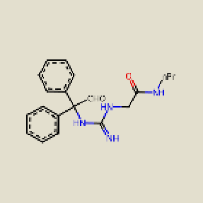 CCCNC(=O)CNC(=N)NC(C=O)(c1ccccc1)c1ccccc1